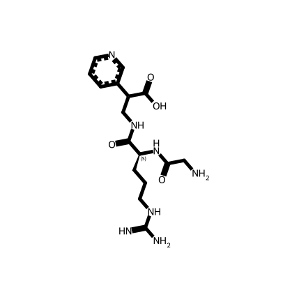 N=C(N)NCCC[C@H](NC(=O)CN)C(=O)NCC(C(=O)O)c1cccnc1